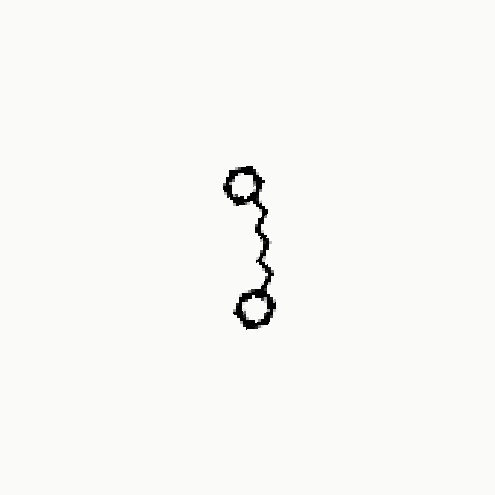 [CH](CCCc1ccccc1)Cc1ccccc1